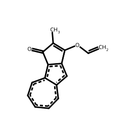 C=COC1=C(C)C(=O)c2c1cc1cccccc2-1